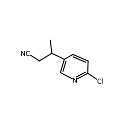 CC(CC#N)c1ccc(Cl)nc1